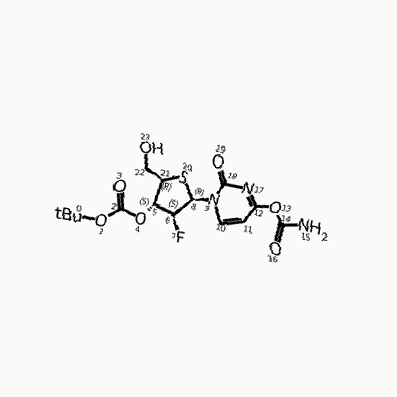 CC(C)(C)OC(=O)O[C@H]1[C@H](F)[C@H](n2ccc(OC(N)=O)nc2=O)S[C@@H]1CO